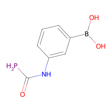 O=C(P)Nc1cccc(B(O)O)c1